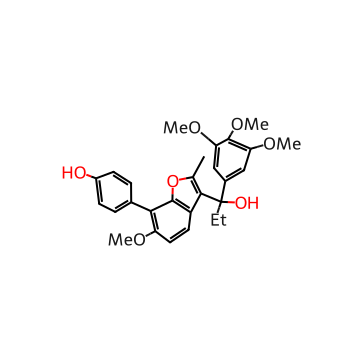 CCC(O)(c1cc(OC)c(OC)c(OC)c1)c1c(C)oc2c(-c3ccc(O)cc3)c(OC)ccc12